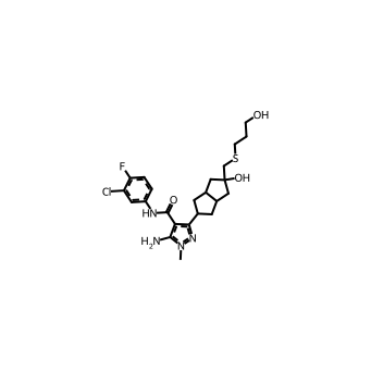 Cn1nc(C2CC3CC(O)(CSCCCO)CC3C2)c(C(=O)Nc2ccc(F)c(Cl)c2)c1N